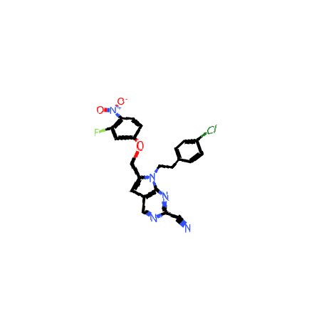 N#Cc1ncc2cc(COc3ccc([N+](=O)[O-])c(F)c3)n(CCc3ccc(Cl)cc3)c2n1